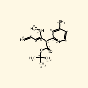 Bc1ccnc(N(C(=O)OC(C)(C)C)/C(=C/C=N)NC)c1